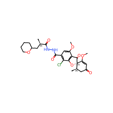 COC1=CC(=O)C[C@@H](C)[C@]12Oc1c(Cl)c(C(=O)NNC(=O)[C@H](C)CC3CCCCO3)cc(OC)c1C2=O